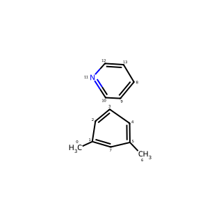 Cc1cccc(C)c1.c1ccncc1